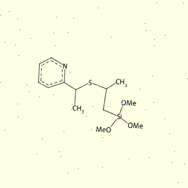 CO[Si](CC(C)SC(C)c1ccccn1)(OC)OC